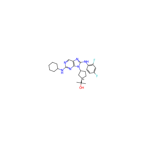 CC(C)(O)[C@@H]1CCC(n2c(Nc3ccc(F)cc3F)nc3cnc(NC4CCCCC4)nc32)C1